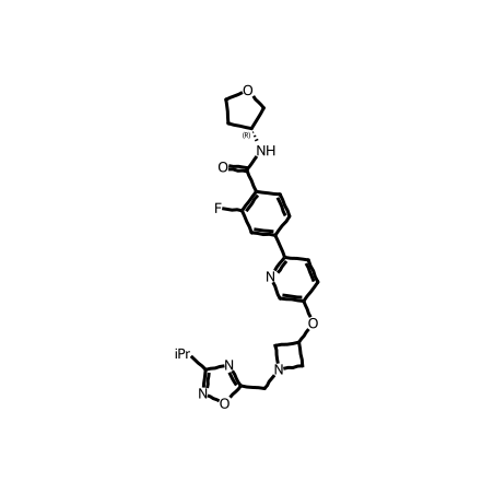 CC(C)c1noc(CN2CC(Oc3ccc(-c4ccc(C(=O)N[C@@H]5CCOC5)c(F)c4)nc3)C2)n1